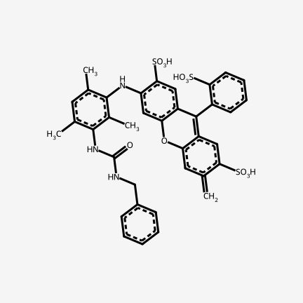 C=c1cc2c(cc1S(=O)(=O)O)=C(c1ccccc1S(=O)(=O)O)c1cc(S(=O)(=O)O)c(Nc3c(C)cc(C)c(NC(=O)NCc4ccccc4)c3C)cc1O2